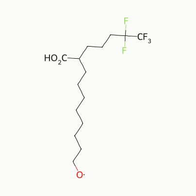 [O]CCCCCCCCC(CCCC(F)(F)C(F)(F)F)C(=O)O